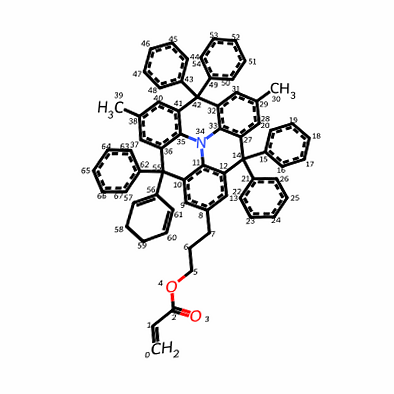 C=CC(=O)OCCCc1cc2c3c(c1)C(c1ccccc1)(c1ccccc1)c1cc(C)cc4c1N3c1c(cc(C)cc1C4(c1ccccc1)c1ccccc1)C2(C1=CCCC=C1)c1ccccc1